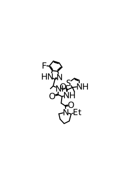 CC[C@H]1CCCCN1C(=O)CC(NC(=O)C1(C)NC=CS1)C(=O)NC(C)c1nc2cccc(F)c2[nH]1